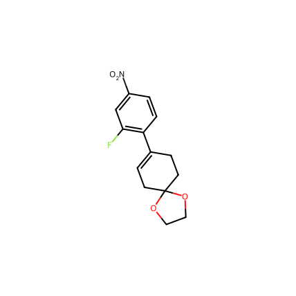 O=[N+]([O-])c1ccc(C2=CCC3(CC2)OCCO3)c(F)c1